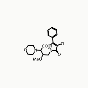 COC(Cn1oc(-c2ccccc2)c(Cl)c1=O)C(C(=O)O)N1CCOCC1